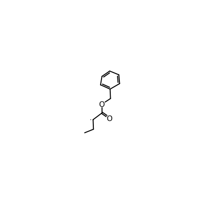 CC[CH]C(=O)OCc1ccccc1